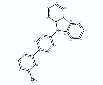 Cc1cccc(-c2ccc(N3c4ccccc4C4C=CC=CC43)cc2)c1